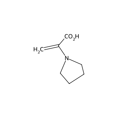 C=C(C(=O)O)N1CCCC1